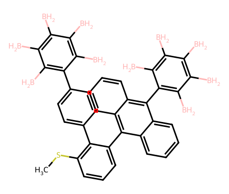 Bc1c(B)c(B)c(-c2ccc(-c3c(SC)cccc3-c3c4ccccc4c(-c4c(B)c(B)c(B)c(B)c4B)c4ccccc34)cc2)c(B)c1B